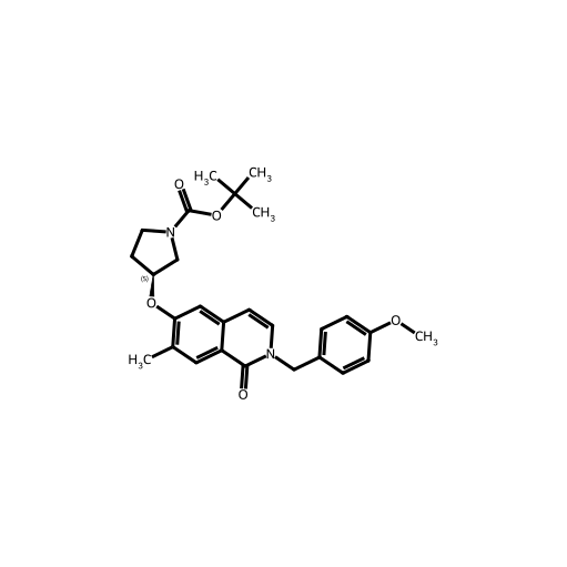 COc1ccc(Cn2ccc3cc(O[C@H]4CCN(C(=O)OC(C)(C)C)C4)c(C)cc3c2=O)cc1